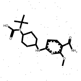 COc1nc(NC2CCC(N(C(=O)O)C(C)(C)C)CC2)ccc1C(N)=O